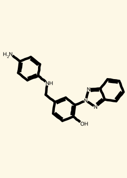 Nc1ccc(NCc2ccc(O)c(-n3nc4ccccc4n3)c2)cc1